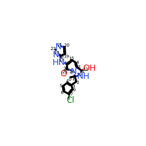 CC1(Cc2cccc(Cl)c2)NC(O)c2ccc(Nc3ccncn3)c(=O)n21